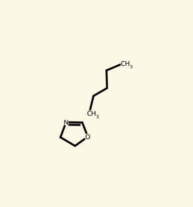 C1=NCCO1.CCCCC